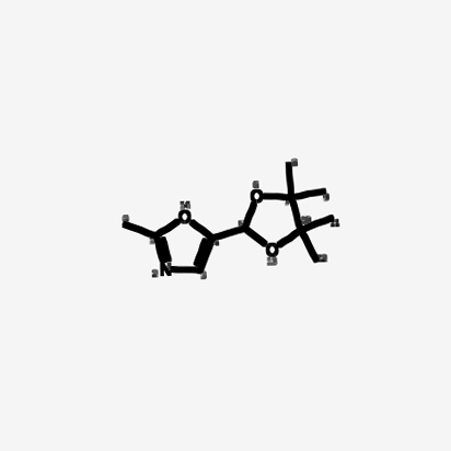 Cc1ncc(C2OC(C)(C)C(C)(C)O2)o1